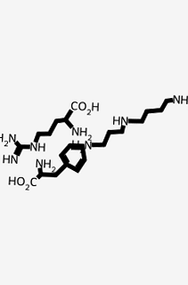 N=C(N)NCCCC(N)C(=O)O.NC(Cc1ccccc1)C(=O)O.NCCCCNCCCN